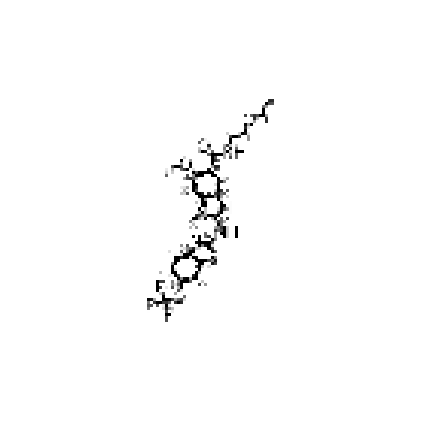 CCOCCNC(=O)c1cc2nc(Nc3nc4ccc(OC(F)(F)F)cc4s3)n(C)c2cc1OC